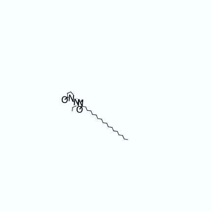 CCCCCCCCCCCCCCCCCC(=O)N(C)[N+](C)(CCC)CN1CCCC1=O